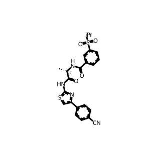 CC(C)S(=O)(=O)c1cccc(C(=O)N[C@@H](C)C(=O)Nc2nc(-c3ccc(C#N)cc3)cs2)c1